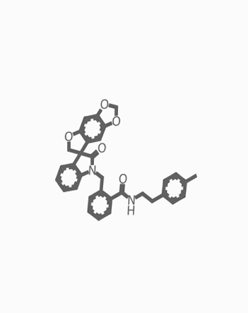 Cc1ccc(CCNC(=O)c2ccccc2CN2C(=O)C3(COc4cc5c(cc43)OCO5)c3ccccc32)cc1